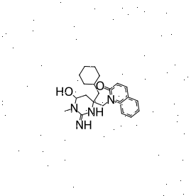 CN1C(=N)NC(CC2CCCCC2)(Cn2c(=O)ccc3ccccc32)CC1O